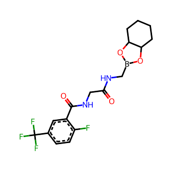 O=C(CNC(=O)c1cc(C(F)(F)F)ccc1F)NCB1OC2CCCCC2O1